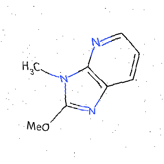 COc1nc2[c]ccnc2n1C